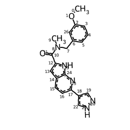 COc1cccc(CN(C)C(=O)c2cc3ccc(-c4cn[nH]c4)nc3[nH]2)c1